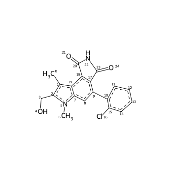 Cc1c(CO)n(C)c2cc(-c3ccccc3Cl)c3c(c12)C(=O)NC3=O